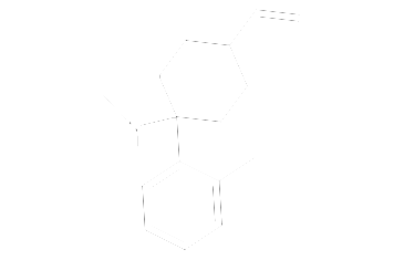 C=CC1CCC(NC)(c2ccccc2C)CC1